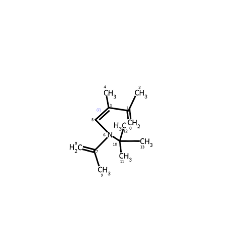 C=C(C)/C(C)=C\N(C(=C)C)C(C)(C)C